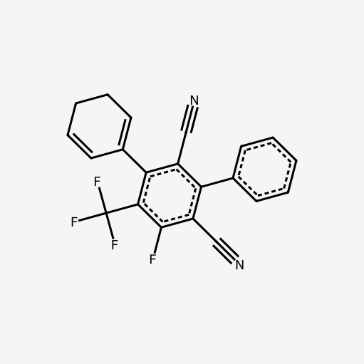 N#Cc1c(F)c(C(F)(F)F)c(C2=CCCC=C2)c(C#N)c1-c1ccccc1